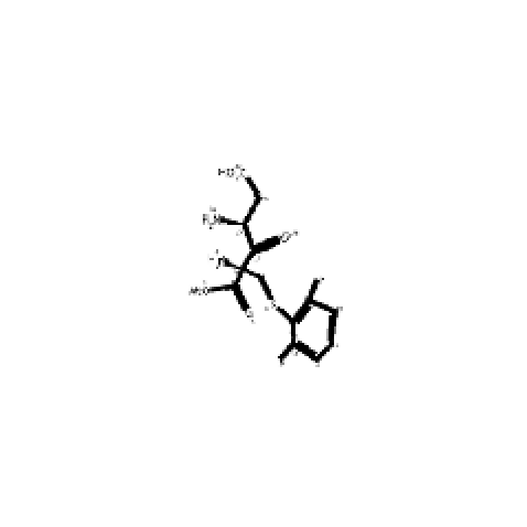 COC(=O)[C@@](N)(CSc1c(C)cccc1C)C(=O)[C@@H](N)CC(=O)O